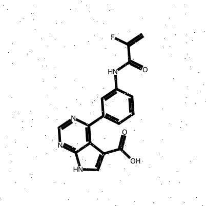 C=C(F)C(=O)Nc1cccc(-c2ncnc3[nH]cc(C(=O)O)c23)c1